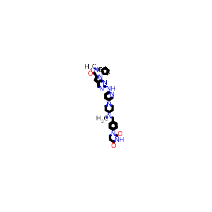 CN(C)C(=O)c1cc2cnc(Nc3ccc(N4CCC(N(C)Cc5ccc(N6CCC(=O)NC6=O)cc5)CC4)cn3)nc2n1C1CCCC1